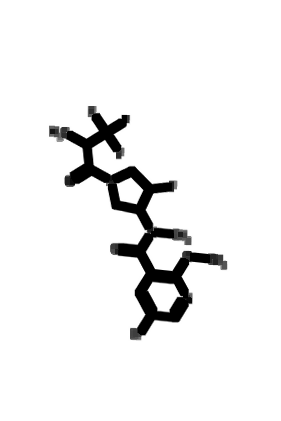 COc1ncc(Br)cc1C(=O)N(C)C1CN(C(=O)C(C)C(F)(F)F)CC1F